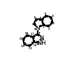 c1ccc2c(c1)ccn2-c1n[nH]c2ccccc12